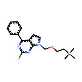 C[Si](C)(C)CCOCn1ccc2c(-c3ccccc3)nc(Cl)nc21